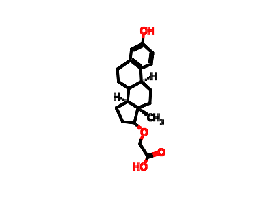 C[C@]12CC[C@@H]3c4ccc(O)cc4CCC3[C@@H]1CC[C@@H]2OCC(=O)O